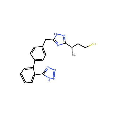 CC(C)(C)C(CCS)c1n[nH]c(Cc2ccc(-c3ccccc3-c3nnn[nH]3)cc2)n1